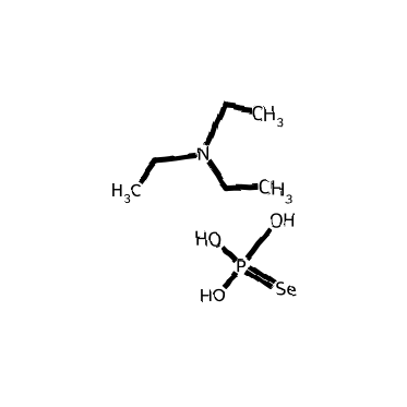 CCN(CC)CC.OP(O)(O)=[Se]